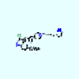 COc1ccc2ncc(Cl)c(CCCC3(C(=O)O)CCN(CCCCc4cccnc4)CC3)c2c1